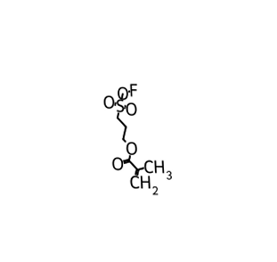 C=C(C)C(=O)OCCCS(=O)(=O)OF